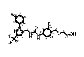 O=C(NCc1cc(C(F)(F)F)nn1-c1cccc(F)c1)Nc1ccc(COCCO)c(F)c1